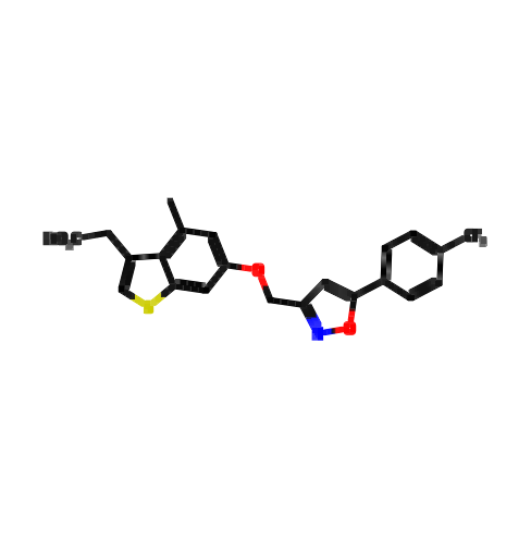 CCOC(=O)Cc1csc2cc(OCc3cc(-c4ccc(C(F)(F)F)cc4)on3)cc(C)c12